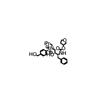 CC(C)CN(C[C@@H](O)[C@H](Cc1ccccc1)NC(=O)OC1CCOC1)S(=O)(=O)c1ccc(CO)cc1